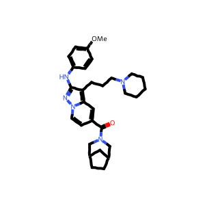 COc1ccc(Nc2nn3ccc(C(=O)N4CC5CCC(C5)C4)cc3c2CCCN2CCCCC2)cc1